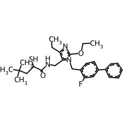 CCOc1nc(CC)c(CNC(=O)C(S)CC(C)(C)C)n1Cc1ccc(-c2ccccc2)cc1F